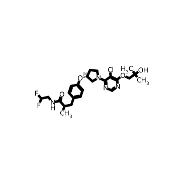 CC(Cc1ccc(O[C@@H]2CCN(c3ncnc(OCC(C)(C)O)c3Cl)C2)cc1)C(=O)NCC(F)F